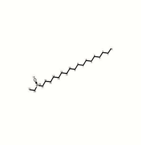 CCCCCCCCCCCCCCCCCC[P](=O)CC